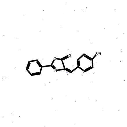 O=C1OC(c2ccccc2)=N/C1=C/c1ccc(O)cc1